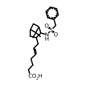 CC1(C)C2CC(C/C=C/CCCC(=O)O)C(NS(=O)(=O)Cc3ccccc3)C1C2